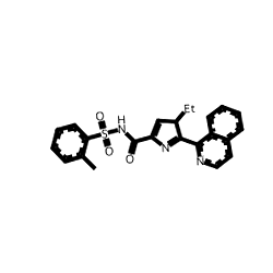 CCC1C=C(C(=O)NS(=O)(=O)c2ccccc2C)N=C1c1nccc2ccccc12